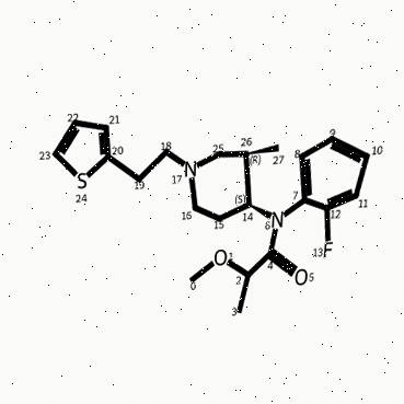 COC(C)C(=O)N(c1ccccc1F)[C@H]1CCN(CCc2cccs2)C[C@H]1C